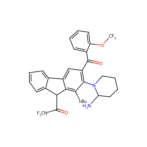 CCCCc1c2c(cc(C(=O)c3ccccc3OC(F)(F)F)c1N1CCCCC1N)-c1ccccc1C2C(=O)NC(F)(F)F